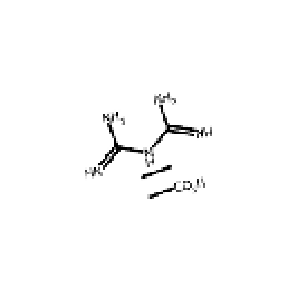 CC.CC(=O)O.N=C(N)NC(=N)N